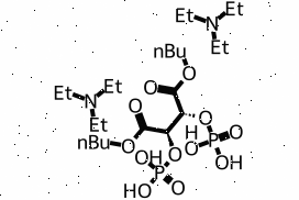 CCCCOC(=O)[C@H](OP(=O)(O)O)[C@@H](OP(=O)(O)O)C(=O)OCCCC.CCN(CC)CC.CCN(CC)CC